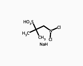 CC(C)(CN(Cl)Cl)S(=O)(=O)O.[NaH]